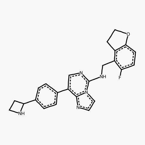 Fc1ccc2c(c1CNc1ncc(-c3ccc(C4CCN4)cc3)c3nccn13)CCO2